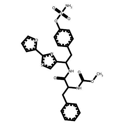 COC(=O)NC(Cc1ccccc1)C(=O)NC(Cc1ccc(OS(N)(=O)=O)cc1)c1csc(-c2ccco2)n1